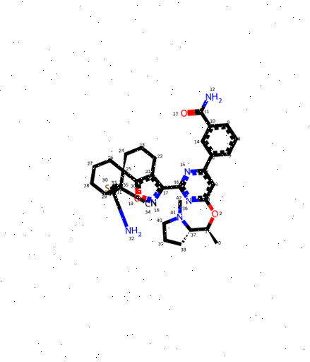 C[C@H](Oc1cc(-c2cccc(C(N)=O)c2)nc(-c2noc3c2CCC[C@@]32CCCc3sc(N)c(C#N)c32)n1)[C@@H]1CCCN1C